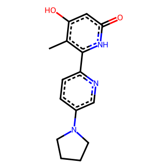 Cc1c(O)cc(=O)[nH]c1-c1ccc(N2CCCC2)cn1